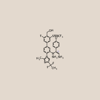 CSc1cc(-c2ccc(-n3cc(C(C)(F)F)nc3C)c(N(N)/C(=C\N)c3ccc(OC(F)(F)F)cc3)c2)cc(F)c1CO